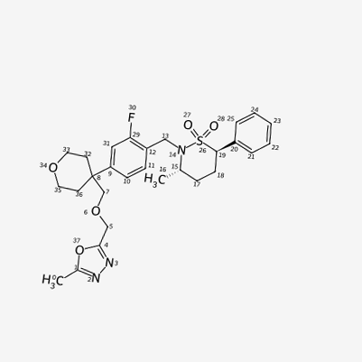 Cc1nnc(COCC2(c3ccc(CN4[C@@H](C)CC[C@H](c5ccccc5)S4(=O)=O)c(F)c3)CCOCC2)o1